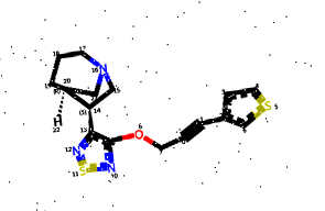 C(#Cc1ccsc1)COc1nsnc1[C@@H]1CN2CCC[C@H]1C2